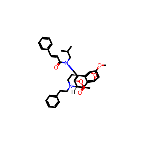 COc1cc2oc1c1c2C[C@H]2N(CCc3ccccc3)CC[C@@]13CC(N(CC(C)C)C(=O)/C=C/c1ccccc1)CC[C@@]23OC(C)=O